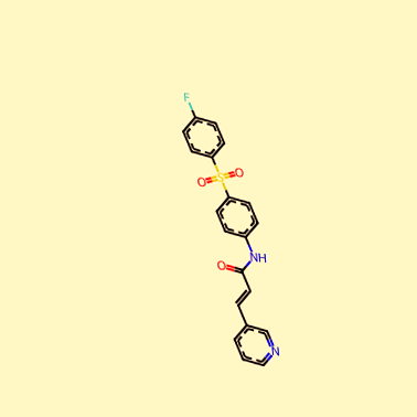 O=C(C=Cc1cccnc1)Nc1ccc(S(=O)(=O)c2ccc(F)cc2)cc1